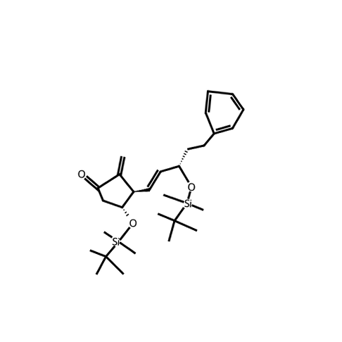 C=C1C(=O)C[C@@H](O[Si](C)(C)C(C)(C)C)[C@@H]1C=C[C@H](CCc1ccccc1)O[Si](C)(C)C(C)(C)C